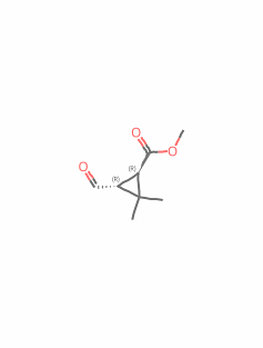 COC(=O)[C@@H]1[C@@H](C=O)C1(C)C